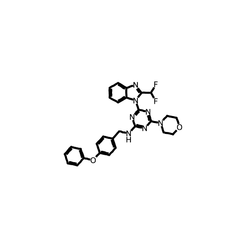 FC(F)c1nc2ccccc2n1-c1nc(NCc2ccc(Oc3ccccc3)cc2)nc(N2CCOCC2)n1